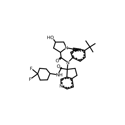 CC(C)(C)c1ccc(N(C(=O)C2CC(O)CN2C#N)C2(C(=O)NC3CCC(F)(F)CC3)CCc3ccncc32)cc1